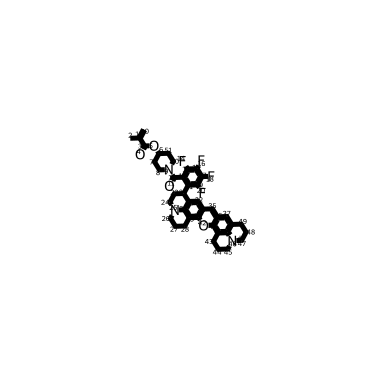 C=C(C)C(=O)OC1CCN(C(=O)c2c(F)c(F)c(F)c(F)c2C2CCN3CCCc4c5c(cc2c43)C=c2cc3c4c(c2O5)CCC[N+]=4CCC3)CC1